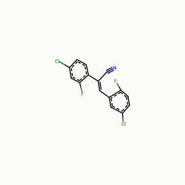 N#CC(=Cc1cc(Cl)ccc1F)c1ccc(Cl)cc1F